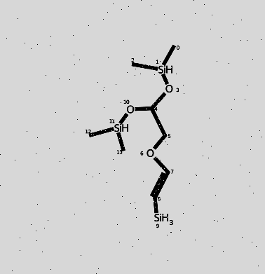 C[SiH](C)OC(COC=C[SiH3])O[SiH](C)C